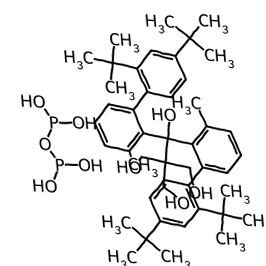 Cc1cccc(-c2ccc(C(C)(C)C)cc2C(C)(C)C)c1C(O)(c1c(C)cccc1-c1ccc(C(C)(C)C)cc1C(C)(C)C)C(CO)(CO)CO.OP(O)OP(O)O